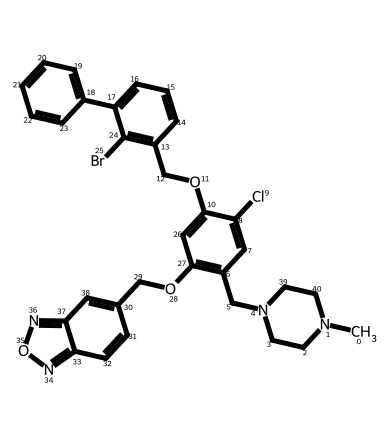 CN1CCN(Cc2cc(Cl)c(OCc3cccc(-c4ccccc4)c3Br)cc2OCc2ccc3nonc3c2)CC1